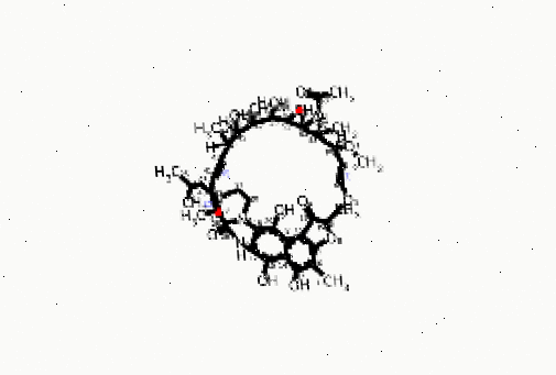 CO[C@H]1/C=C/O[C@@]2(C)Oc3c(C)c(O)c4c(O)c(c(N5CCN(CC(C)C)CC5)c(O)c4c3C2=O)NC(=O)/C(C)=C\C=C\[C@H](C)[C@H](O)[C@@H](C)[C@@H](O)[C@@H](C)[C@H](OC(C)=O)[C@@H]1C